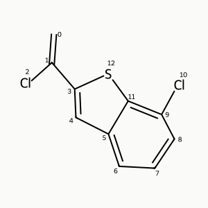 C=C(Cl)c1cc2cccc(Cl)c2s1